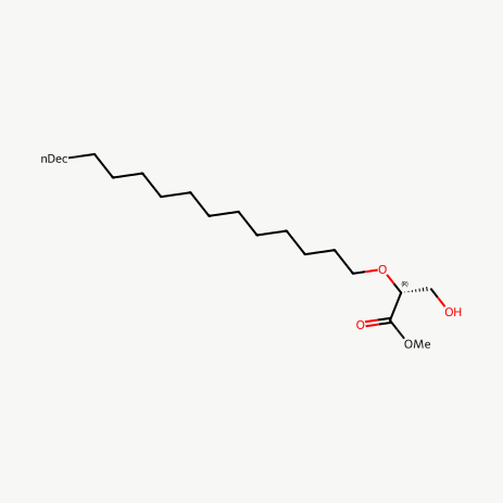 CCCCCCCCCCCCCCCCCCCCCCO[C@H](CO)C(=O)OC